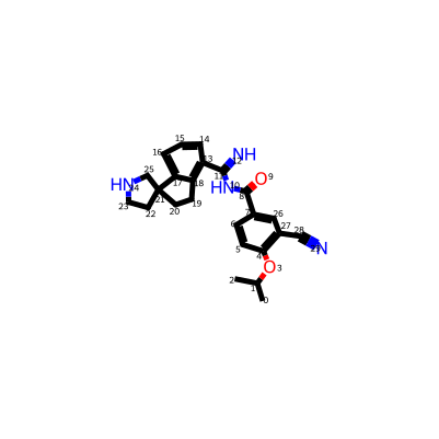 CC(C)Oc1ccc(C(=O)NC(=N)c2cccc3c2CCC32CCNC2)cc1C#N